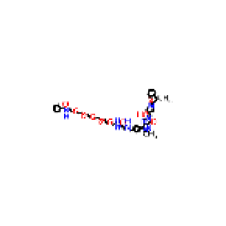 CC(CC(=O)N1CCC(O)(Cn2cnc3c(-c4ccc(CNCC(=O)NCCOCCOCCOCCOCCOCCNC(=O)c5ccccc5)cc4)n(C)nc3c2=O)CC1)c1ccccc1